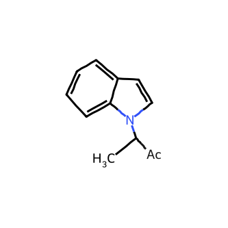 CC(=O)C(C)n1ccc2ccccc21